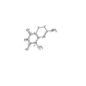 BC1=Nc2c(c(=O)[nH]c(=O)n2C)CC1